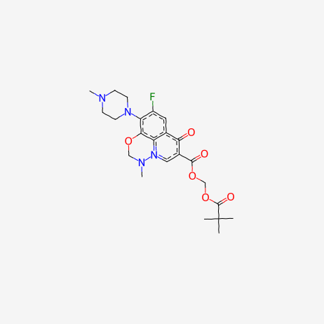 CN1CCN(c2c(F)cc3c(=O)c(C(=O)OCOC(=O)C(C)(C)C)cn4c3c2OCN4C)CC1